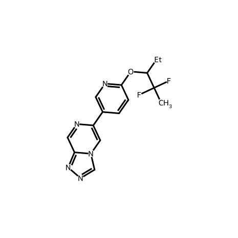 CCC(Oc1ccc(-c2cn3cnnc3cn2)cn1)C(C)(F)F